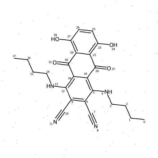 CCCCNc1c(C#N)c(C#N)c(NCCCC)c2c1C(=O)c1c(O)ccc(O)c1C2=O